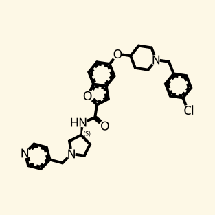 O=C(N[C@H]1CCN(Cc2ccncc2)C1)c1cc2cc(OC3CCN(Cc4ccc(Cl)cc4)CC3)ccc2o1